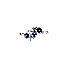 C=C1N(C)c2nc(Nc3ccc(C)nc3)ncc2CN1c1cc(C=O)ccc1C